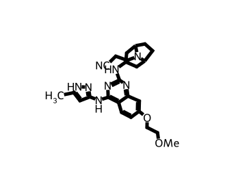 COCCOc1ccc2c(Nc3cc(C)[nH]n3)nc(NC3CC4CCC(C3)N4CCC#N)nc2c1